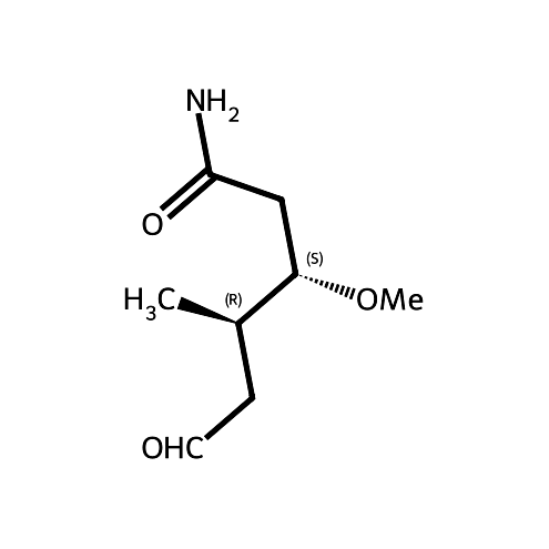 CO[C@@H](CC(N)=O)[C@H](C)CC=O